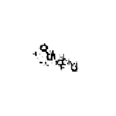 Cc1ccc(F)cc1-c1cc(C(F)(F)F)c(O[C@H]2C[C@@H]3CN(Cc4ccccn4)C[C@@H]3C2)nn1